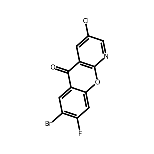 O=c1c2cc(Br)c(F)cc2oc2ncc(Cl)cc12